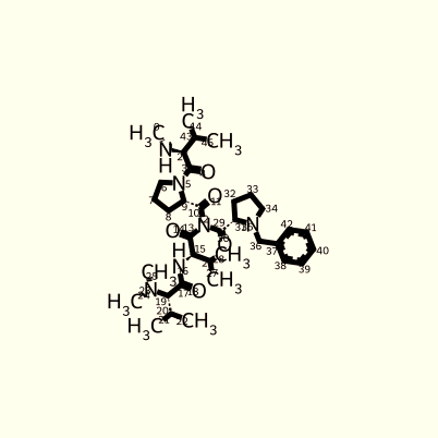 CN[C@H](C(=O)N1CCC[C@H]1C(=O)N(C(=O)[C@@H](NC(=O)[C@H](C(C)C)N(C)C)C(C)C)C(=O)[C@@H]1CCCN1Cc1ccccc1)C(C)C